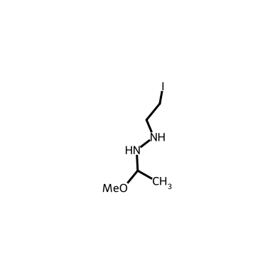 COC(C)NNCCI